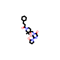 CC1(C)CN(C(=O)CCC2CCCCC2)CCC1(O)Cn1cc(N2CCCC2=O)ncc1=O